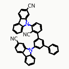 N#Cc1ccc2c3ccccc3n(-c3cc(-c4ccccc4)cc(-c4cccc(-n5c6ccccc6c6ccc(C#N)cc65)c4C#N)c3)c2c1